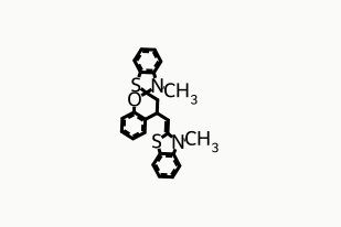 CN1C(=CC2CC3(Oc4ccccc42)Sc2ccccc2N3C)Sc2ccccc21